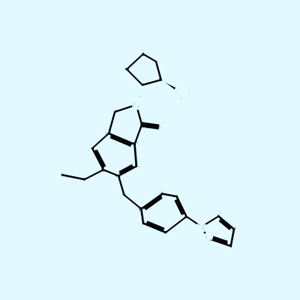 CCc1cc2c(cc1Cc1ccc(-n3cccn3)cc1)C(=O)N([C@@H]1CCC[C@H]1O)C2